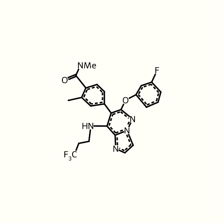 CNC(=O)c1ccc(-c2c(Oc3cccc(F)c3)nn3ccnc3c2NCCC(F)(F)F)cc1C